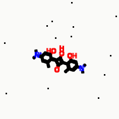 CC1=CC(=[N+](C)C)C=C(O)/C1=C1/C(=O)C(c2c(C)cc(N(C)C)cc2O)=C1O